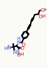 CNC(C)(C)C(NC(=O)c1ccc(C#CC#CCC(O)CO)cc1)C(=O)NO